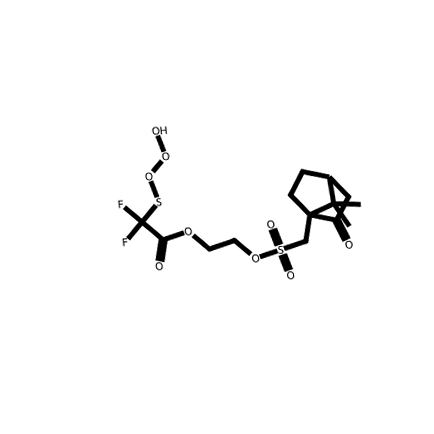 CC1(C)C2CCC1(CS(=O)(=O)OCCOC(=O)C(F)(F)SOOO)C(=O)C2